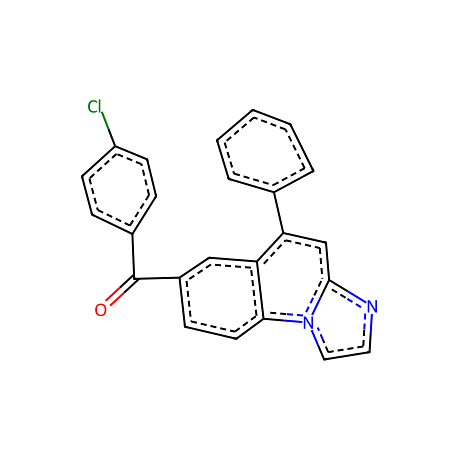 O=C(c1ccc(Cl)cc1)c1ccc2c(c1)c(-c1ccccc1)cc1nccn12